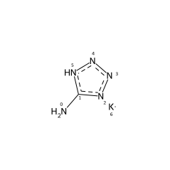 Nc1nnn[nH]1.[K]